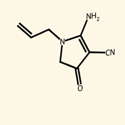 C=CCN1CC(=O)C(C#N)=C1N